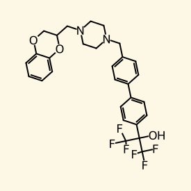 OC(c1ccc(-c2ccc(CN3CCN(CC4COc5ccccc5O4)CC3)cc2)cc1)(C(F)(F)F)C(F)(F)F